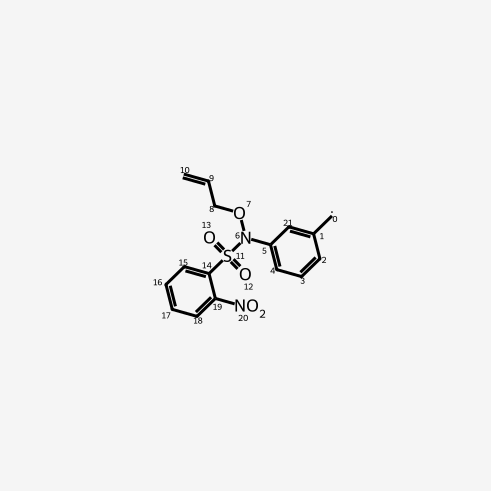 [CH2]c1cccc(N(OCC=C)S(=O)(=O)c2ccccc2[N+](=O)[O-])c1